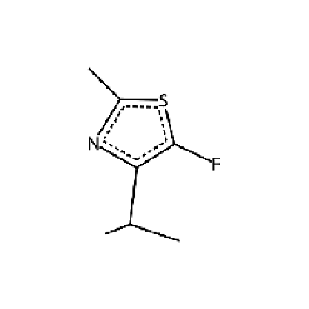 Cc1nc(C(C)C)c(F)s1